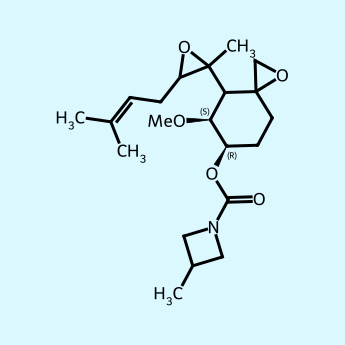 CO[C@H]1C(C2(C)OC2CC=C(C)C)C2(CC[C@H]1OC(=O)N1CC(C)C1)CO2